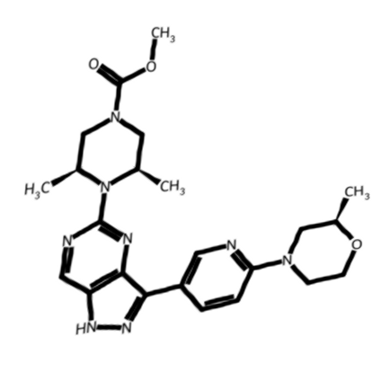 COC(=O)N1C[C@@H](C)N(c2ncc3[nH]nc(-c4ccc(N5CCO[C@H](C)C5)nc4)c3n2)[C@@H](C)C1